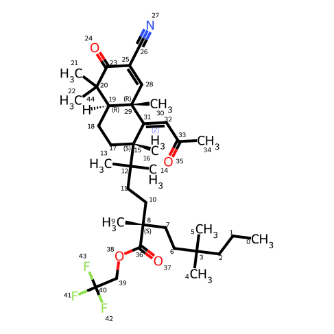 CCCC(C)(C)CC[C@@](C)(CCC(C)(C)[C@]1(C)CC[C@H]2C(C)(C)C(=O)C(C#N)=C[C@]2(C)/C1=C/C(C)=O)C(=O)OCC(F)(F)F